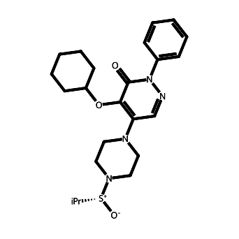 CC(C)[S@@+]([O-])N1CCN(c2cnn(-c3ccccc3)c(=O)c2OC2CCCCC2)CC1